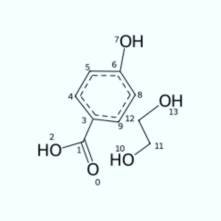 O=C(O)c1ccc(O)cc1.OCCO